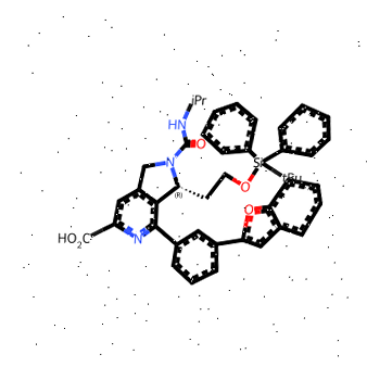 CC(C)NC(=O)N1Cc2cc(C(=O)O)nc(-c3cccc(-c4cc5ccccc5o4)c3)c2[C@H]1CCO[Si](c1ccccc1)(c1ccccc1)C(C)(C)C